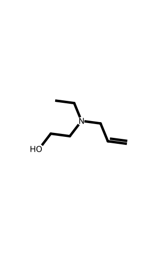 C=CCN(CC)CCO